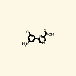 Nc1cc(Cl)cc(-c2cncc(C(=O)O)n2)c1